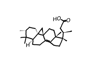 C[C@@H]1CC[C@]23C[C@]24CC[C@@]2(C)C(=C4CC[C@H]3C1(C)C)CC[C@@]2(C)[C@H](C)CC(=O)O